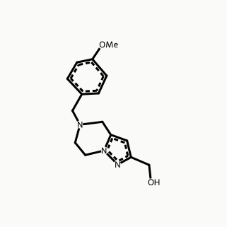 COc1ccc(CN2CCn3nc(CO)cc3C2)cc1